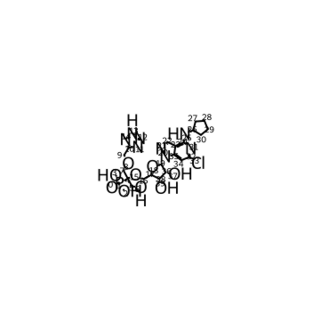 O=P(O)(O)C(CO)(COCc1nn[nH]n1)OCC1O[C@@H](n2ncc3c(NC4CCCC4)nc(Cl)cc32)[C@H](O)[C@@H]1O